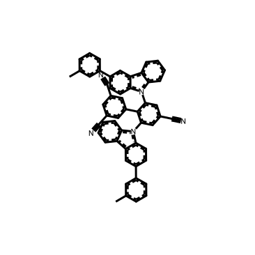 Cc1cccc(-c2ccc3c(c2)c2ccccc2n3-c2cc(C#N)cc(-n3c4ccccc4c4cc(-c5cccc(C)c5)ccc43)c2-c2cc(C#N)cc(C#N)c2)c1